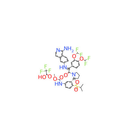 COC(=O)Nc1ccc(S(=O)(=O)C(C)C)c([C@H]2CCCN2C(=O)[C@H](Nc2ccc3c(N)nccc3c2)c2ccc(OC(F)F)c(OC(F)F)c2)c1.O=C(O)C(F)(F)F